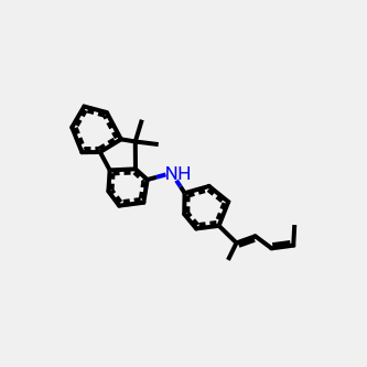 C/C=C\C=C(/C)c1ccc(Nc2cccc3c2C(C)(C)c2ccccc2-3)cc1